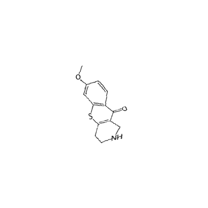 COc1ccc2c(=O)c3c(sc2c1)CCNC3